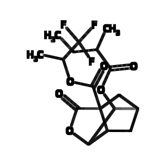 CCC(C)C(=O)OC1C2CC3C1OC(=O)C3(C(=O)OC(C)C(F)(F)F)C2